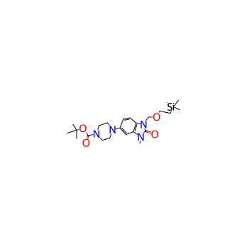 Cn1c(=O)n(COCC[Si](C)(C)C)c2ccc(N3CCN(C(=O)OC(C)(C)C)CC3)cc21